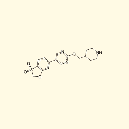 O=S1(=O)COc2cc(-c3cnc(OCC4CCNCC4)nc3)ccc21